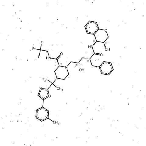 Cc1cncc(-c2cnc(C(C)(C)N3CCN(C[C@@H](O)C[C@@H](Cc4ccccc4)C(=O)N[C@H]4c5ccccc5OC[C@H]4O)[C@H](C(=O)NCC(F)(F)F)C3)o2)c1